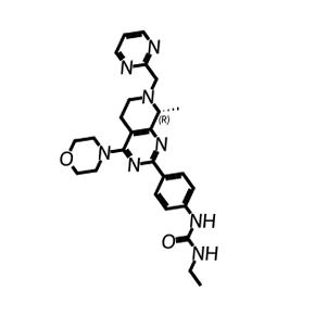 CCNC(=O)Nc1ccc(-c2nc3c(c(N4CCOCC4)n2)CCN(Cc2ncccn2)[C@@H]3C)cc1